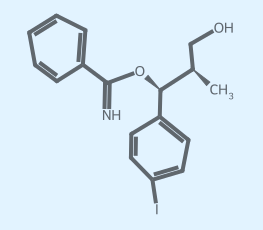 C[C@H](CO)[C@H](OC(=N)c1ccccc1)c1ccc(I)cc1